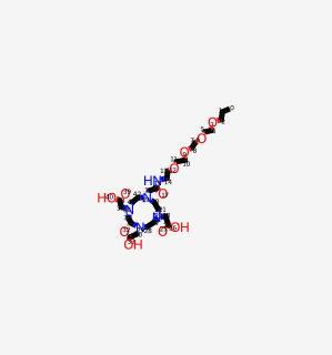 CCCOCCOCCOCCOCCNC(=O)CN1CCN(CC(=O)O)CCN(CC(=O)O)CCN(CC(=O)O)CC1